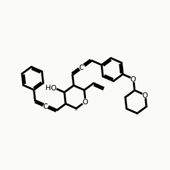 C=CC1O[C]C(C=C=Cc2ccccc2)C(O)C1C=C=Cc1ccc(OC2CCCCO2)cc1